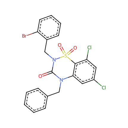 O=C1N(Cc2ccccc2)c2cc(Cl)cc(Cl)c2S(=O)(=O)N1Cc1ccccc1Br